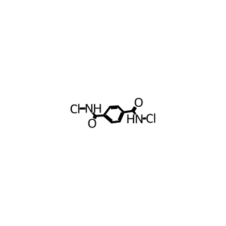 O=C(NCl)c1ccc(C(=O)NCl)cc1